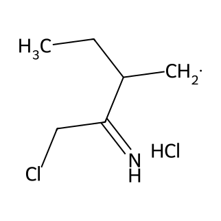 Cl.[CH2]C(CC)C(=N)CCl